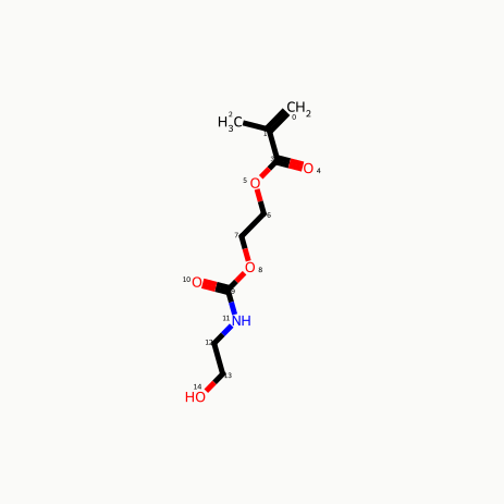 C=C(C)C(=O)OCCOC(=O)NCCO